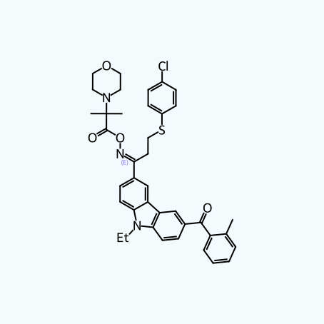 CCn1c2ccc(C(=O)c3ccccc3C)cc2c2cc(/C(CCSc3ccc(Cl)cc3)=N/OC(=O)C(C)(C)N3CCOCC3)ccc21